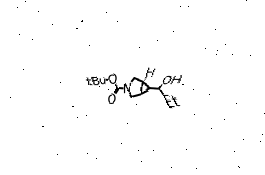 CCC(O)C1C2CN(C(=O)OC(C)(C)C)C[C@H]21